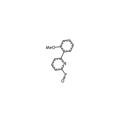 COc1ccccc1-c1cccc(P=O)n1